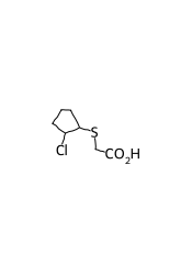 O=C(O)CSC1CCCC1Cl